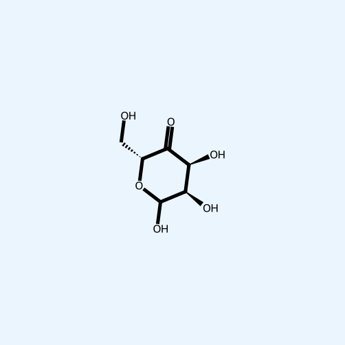 O=C1[C@@H](O)[C@@H](O)C(O)O[C@@H]1CO